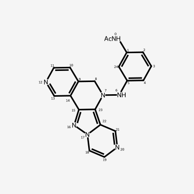 CC(=O)Nc1cccc(NN2Cc3ccncc3-c3nn4ccncc4c32)c1